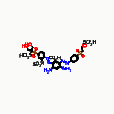 Nc1cc(N)c(N=Nc2ccc(S(=O)(=O)C(CO)(CO)S(=O)(=O)O)cc2S(=O)(=O)O)c(C(=O)O)c1N=Nc1ccc(S(=O)(=O)CCOS(=O)(=O)O)cc1